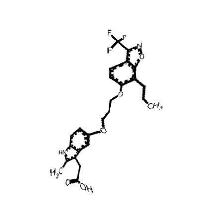 CCCc1c(OCCCOc2ccc3[nH]c(C)c(CC(=O)O)c3c2)ccc2c(C(F)(F)F)noc12